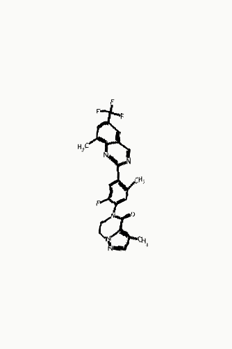 Cc1cc(N2CCn3ncc(C)c3C2=O)c(F)cc1-c1ncc2cc(C(F)(F)F)cc(C)c2n1